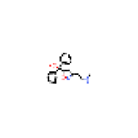 CN(C)CCc1cc(C(O)(c2ccccc2)c2ccccc2)on1